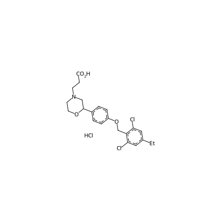 CCc1cc(Cl)c(COc2ccc(C3CN(CCC(=O)O)CCO3)cc2)c(Cl)c1.Cl